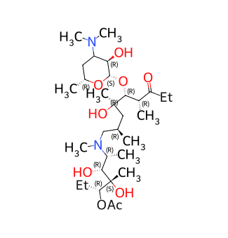 CCC(=O)[C@H](C)[C@@H](O[C@@H]1O[C@H](C)CC(N(C)C)[C@H]1O)[C@](C)(O)C[C@@H](C)CN(C)[C@H](C)[C@@H](O)[C@](C)(O)[C@@H](CC)OC(C)=O